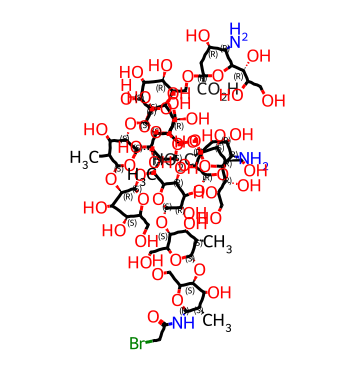 CC1C(O)[C@H](O[C@@H]2OC(CO[C@]3(C(=O)O)C[C@@H](O)[C@@H](N)C([C@H](O)C(O)CO)O3)[C@H](O)C(O)[C@@H]2O)[C@H](CO)O[C@H]1O[C@@H]1C(O)[C@H](O)C(CO)O[C@@H]1OCC1O[C@@H](O[C@@H]2C(CO)O[C@@H](O[C@@H]3C(CO)O[C@@H](NC(=O)CBr)[C@@H](C)C3O)[C@@H](C)C2O)[C@H](O)C(O[C@H]2O[C@H](CO)[C@@H](O)C(O)C2O[C@@H]2OC(CO)[C@@H](O[C@@H]3OC(CO[C@]4(C(=O)O)C[C@@H](O)[C@@H](N)C([C@H](O)C(O)CO)O4)[C@H](O)C(O)[C@@H]3O)C(O)[C@@H]2C)[C@@H]1O